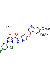 COc1cc2nccc(Oc3ccc(NC(=O)c4nn(-c5ccc(F)cc5Cl)cc4OCC4CC4)nc3)c2cc1OC